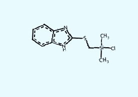 C[Si](C)(Cl)CSc1nc2ccccc2[nH]1